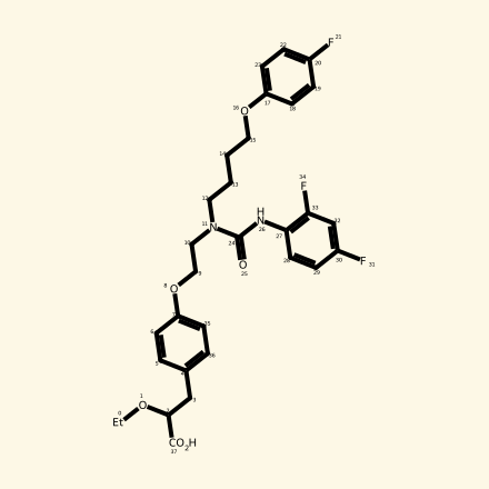 CCOC(Cc1ccc(OCCN(CCCCOc2ccc(F)cc2)C(=O)Nc2ccc(F)cc2F)cc1)C(=O)O